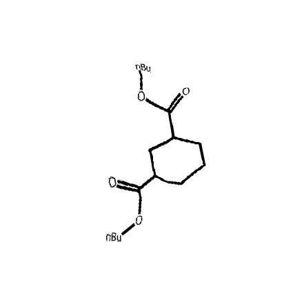 CCCCOC(=O)C1CCCC(C(=O)OCCCC)C1